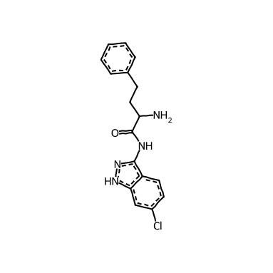 NC(CCc1ccccc1)C(=O)Nc1n[nH]c2cc(Cl)ccc12